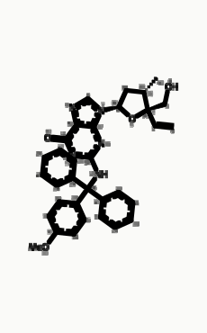 C=C[C@]1(CO)O[C@@H](n2cnc3c(=O)[nH]c(NC(c4ccccc4)(c4ccccc4)c4ccc(OC)cc4)nc32)C[C@@H]1C